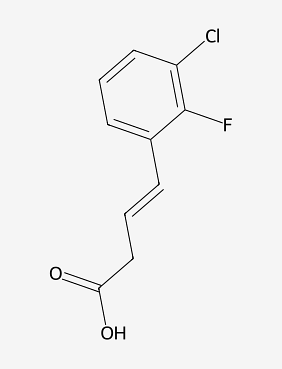 O=C(O)C/C=C/c1cccc(Cl)c1F